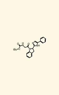 CC(C)(C)OC(=O)NCC(=O)N1c2ccccc2CC1c1ncc(-c2ccccc2)[nH]1